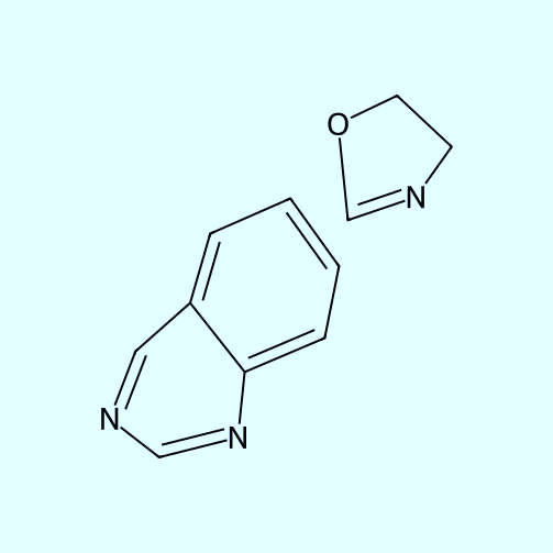 C1=NCCO1.c1ccc2ncncc2c1